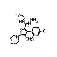 C=NN/C(=N\N)c1sc(N2CCOCC2)c(C#N)c1-c1ccc(Cl)cc1Cl